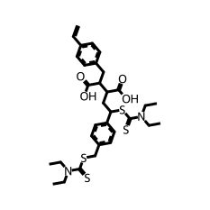 C=Cc1ccc(CC(C(=O)O)C(CC(SC(=S)N(CC)CC)c2ccc(CSC(=S)N(CC)CC)cc2)C(=O)O)cc1